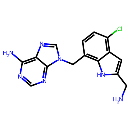 NCc1cc2c(Cl)ccc(Cn3cnc4c(N)ncnc43)c2[nH]1